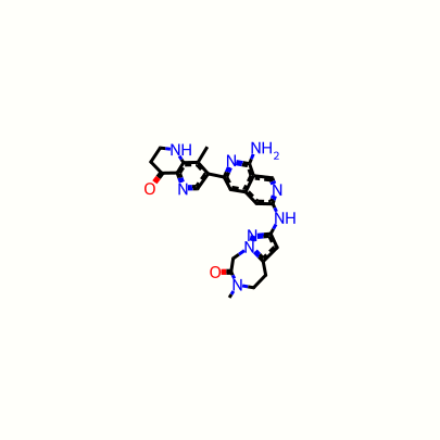 Cc1c(-c2cc3cc(Nc4cc5n(n4)CC(=O)N(C)CC5)ncc3c(N)n2)cnc2c1NCCC2=O